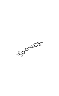 C=CC(=O)Sc1ccc(CO/C=C/c2ccc(-c3ccc(SC(=O)C=C)cc3)cc2)cc1